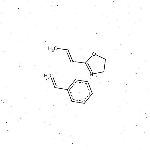 C=Cc1ccccc1.CC=CC1=NCCO1